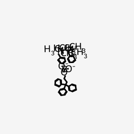 C[N+](C)(C)Cc1ccccc1.C[N+](C)(C)Cc1ccccc1.[O-]B([O-])OCCCC(c1ccccc1)(c1ccccc1)c1ccccc1